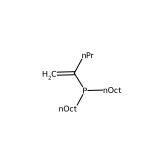 C=C(CCC)P(CCCCCCCC)CCCCCCCC